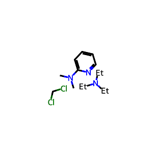 CCN(CC)CC.CN(C)c1ccccn1.ClCCl